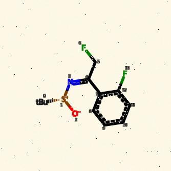 CC(C)(C)[S@@+]([O-])/N=C(/CF)c1ccccc1F